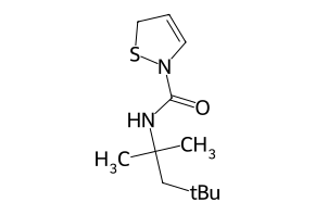 CC(C)(C)CC(C)(C)NC(=O)N1C=CCS1